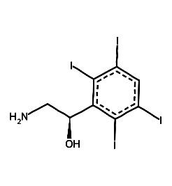 NC[C@H](O)c1c(I)c(I)cc(I)c1I